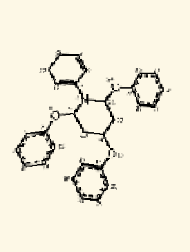 [CH]1C=CC(N2C(Oc3ccccc3)CC(Oc3ccccc3)CC2Oc2ccccc2)=CC1